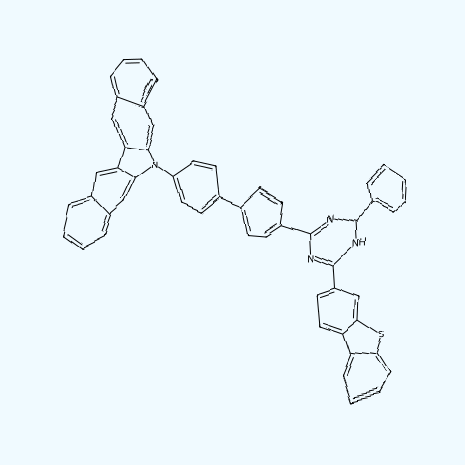 c1ccc(C2N=C(c3ccc(-c4ccc(-n5c6cc7ccccc7cc6c6cc7ccccc7cc65)cc4)cc3)N=C(c3ccc4c(c3)sc3ccccc34)N2)cc1